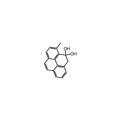 Cc1ccc2ccc3cccc4c3c2c1C(O)(O)C4